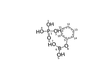 O=P(O)(O)O.OB(O)Oc1ccccc1